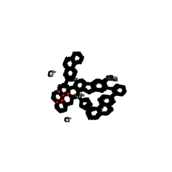 CC(C)(C)c1cc2c(cc1-c1ccccc1-c1ccc3c(ccc4ccccc43)c1)Cc1c-2cc(C(C)(C)C)c(-c2ccccc2-c2ccc3c(ccc4ccccc43)c2)[c]1[Zr+2]([C]1=CC=CC1)=[C](Cc1ccccc1)Cc1ccccc1.[Cl-].[Cl-]